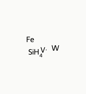 [Fe].[SiH4].[V].[W]